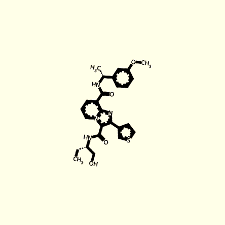 CC[C@@H](CO)NC(=O)c1c(-c2ccsc2)nc2c(C(=O)N[C@H](C)c3cccc(OC)c3)cccn12